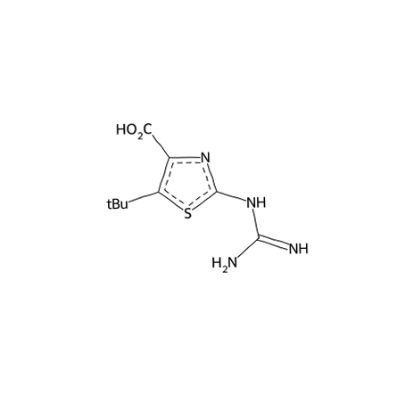 CC(C)(C)c1sc(NC(=N)N)nc1C(=O)O